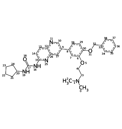 CN(C)CCOc1cc(-c2cnc3ccc(NC(=O)NC4CCCC4)nc3c2)ccc1OCc1ccccc1